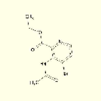 CCOC(=O)c1nccc(Br)c1NC(C)=O